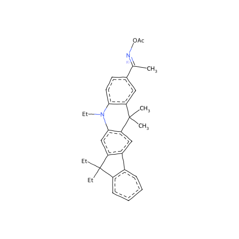 CCN1c2ccc(/C(C)=N/OC(C)=O)cc2C(C)(C)c2cc3c(cc21)C(CC)(CC)c1ccccc1-3